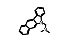 CN(C)Cn1c2ccccc2c2cc3ccccc3cc21